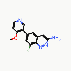 COc1ccncc1-c1cc(Cl)c2nnc(N)cc2c1